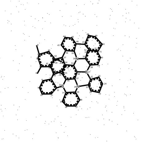 Cc1cc(C)c(N2c3ccccc3B3c4ccccc4N4c5ccccc5B5c6ccccc6N(c6c(-c7ccccc7)cccc6-c6ccccc6)c6cc2c3c4c65)c(C)c1